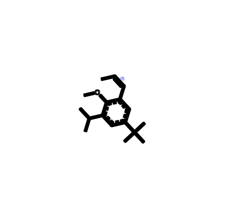 C/C=C\c1cc(C(C)(C)C)cc(C(C)C)c1OC